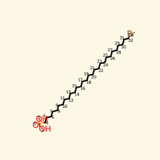 O=P(O)(O)CCCCCCCCCCCCCCCCCCCCCCCCCCCCCBr